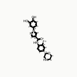 O=C(Nc1ccc([C@H]2CNCCO2)cc1F)c1cnn(-c2ccc(O)c(O)c2)c1